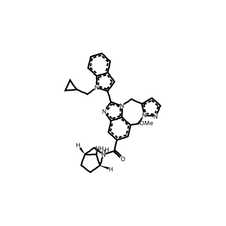 COc1cc(C(=O)N2C[C@H]3CC[C@@H]2[C@@H]3N)cc2nc(-c3cc4ccccc4n3CC3CC3)n(Cc3ccnn3C)c12